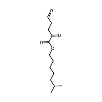 CC(C)CCCCCOC(=O)C(=O)CCC=O